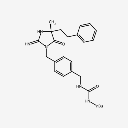 CCCCNC(=O)NCc1ccc(CN2C(=N)N[C@](C)(CCc3ccccc3)C2=O)cc1